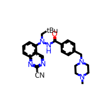 CN1CCN(Cc2ccc(C(=O)NN(CC(C)(C)C)c3cccc4nc(C#N)ncc34)cc2)CC1